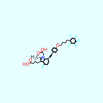 Cc1c(CCCC(=O)O)c2c(F)ccc(C#Cc3ccc(OCCCCc4c(F)c(F)c(F)c(F)c4F)cc3)c2n1CC(=O)O